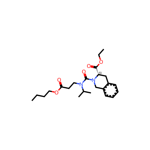 CCCCOC(=O)CCN(C(=O)N1Cc2ccccc2C[C@H]1C(=O)OCC)C(C)C